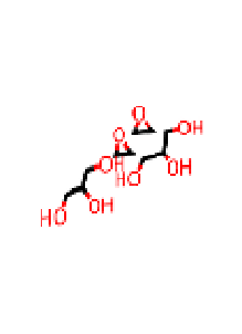 C1CO1.C1CO1.OCC(O)CO.OCC(O)CO